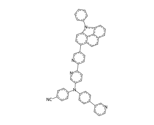 N#Cc1ccc(N(c2ccc(-c3cccnc3)cc2)c2ccc(-c3ccc(-c4ccc5c6c4ccc4cccc(c46)n5-c4ccccc4)cn3)nc2)cc1